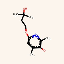 Cc1cc(OCCC(C)(C)O)nc(C)c1[O]